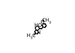 COc1cccc(C=C2CCCc3cc(C)cnc32)c1O